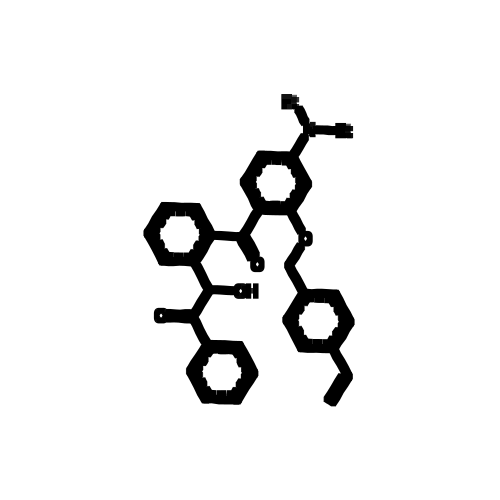 C=Cc1ccc(COc2cc(N(CC)CC)ccc2C(=O)c2ccccc2C(O)C(=O)c2ccccc2)cc1